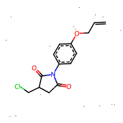 C=CCOc1ccc(N2C(=O)CC(CCl)C2=O)cc1